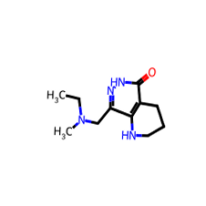 CCN(C)Cc1n[nH]c(=O)c2c1NCCC2